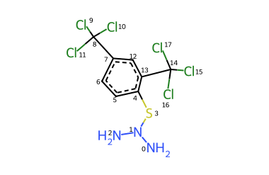 NN(N)Sc1ccc(C(Cl)(Cl)Cl)cc1C(Cl)(Cl)Cl